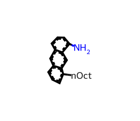 CCCCCCCCc1cccc2cc3cccc(N)c3cc12